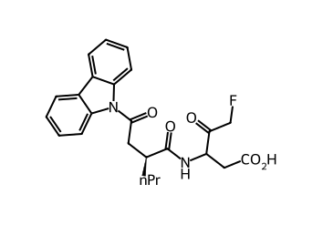 CCC[C@@H](CC(=O)n1c2ccccc2c2ccccc21)C(=O)NC(CC(=O)O)C(=O)CF